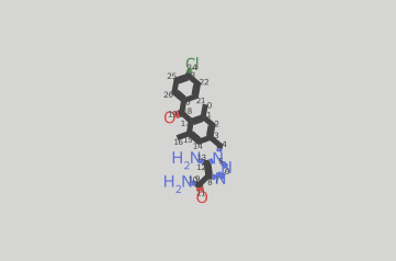 Cc1cc(Cn2nnc(C(N)=O)c2N)cc(C)c1C(=O)c1ccc(Cl)cc1